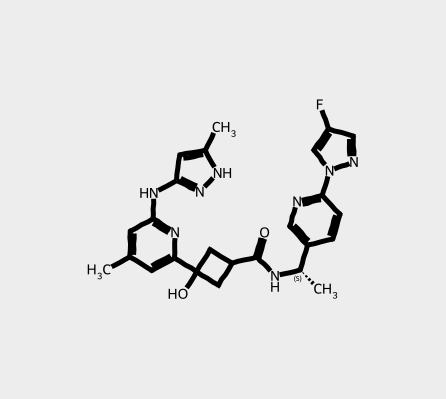 Cc1cc(Nc2cc(C)[nH]n2)nc(C2(O)CC(C(=O)N[C@@H](C)c3ccc(-n4cc(F)cn4)nc3)C2)c1